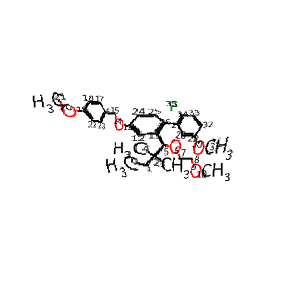 CCC(C)(C)C(OCCOC)c1cc(OCc2ccc(OC)cc2)ccc1-c1cc(OC)ccc1F